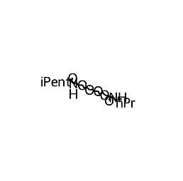 CCCC(C)C(=O)NCCOCCOCCOCCOCC(=O)NCC(C)(C)CCC